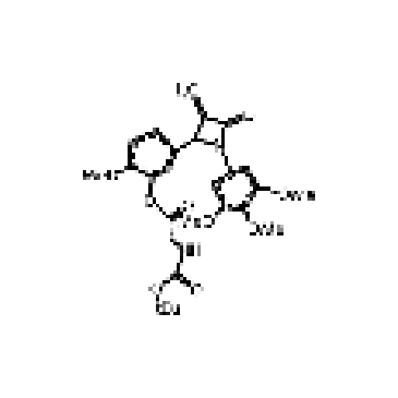 C=C1C(=O)N(c2cc(OC)c(OC)c(OC)c2)C1c1ccc(OC)c(OC(=O)CNC(=O)OC(C)(C)C)c1